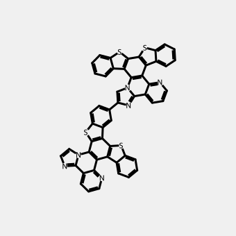 c1ccc2c(c1)sc1c3c4cc(-c5cn6c(n5)c5cccnc5c5c7c8ccccc8sc7c7sc8ccccc8c7c56)ccc4sc3c3c(c4ncccc4c4nccn43)c21